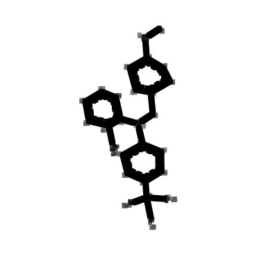 COc1ccc(CN(c2ccc(C(F)(F)F)cc2)c2ccccc2Br)cc1